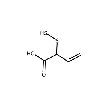 C=CC(SS)C(=O)O